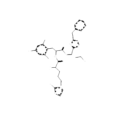 Cc1cc(O)cc(C)c1CC(NC(=O)C(N)CCCn1ccnc1N)C(=O)N[C@@H](CCN)c1nc(Cc2ccccc2)no1